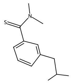 CC(C)Cc1cccc(C(=S)N(C)C)c1